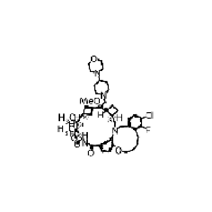 CO[C@@]1(CN2CCC(N3CCOCC3)CC2)C2=C[C@@H](C2)[C@H](C)[C@@H](C)S(=O)(=O)NC(=O)c2ccc3c(c2)N(Cc2ccc(Cl)c(F)c2CCCCO3)C[C@@H]2CC[C@H]21